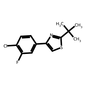 CC(C)(C)c1nc(-c2ccc(Cl)c(F)c2)cs1